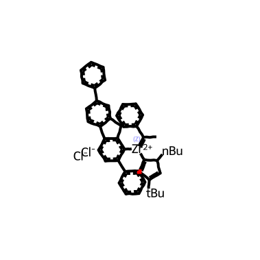 CCCCC1C=C(C(C)(C)C)C=[C]1/[Zr+2](=[C](\C)c1ccccc1)[c]1c(-c2ccccc2)ccc2c1Cc1cc(-c3ccccc3)ccc1-2.[Cl-].[Cl-]